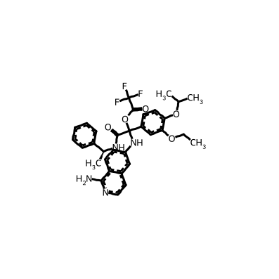 CCOc1cc(C(Nc2ccc3c(N)nccc3c2)(OC(=O)C(F)(F)F)C(=O)N[C@@H](C)c2ccccc2)ccc1OC(C)C